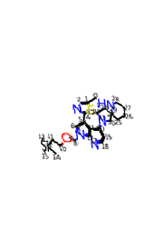 Cc1cnc(-c2cn(COCC[Si](C)(C)C)c3nccc(N4CC[C@@]5(CCCCN5)C4)c23)s1